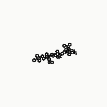 Cc1cc2cc(N3c4ccccc4C(C)(Cc4ccc(N5c6ccccc6N(c6cccc7c(N8c9ccccc9N(c9ccccc9)c9ccccc98)cccc67)c6cc7oc8ccccc8c7cc65)cc4)c4ccccc43)c(C)cc2cc1N1c2ccccc2C(C)(C)c2cc3c4ccccc4n(-c4ccccc4)c3cc21